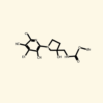 CCc1c(C#N)c(Cl)nc(N2CCC(O)(CNC(=O)OC(C)(C)C)C2)c1C#N